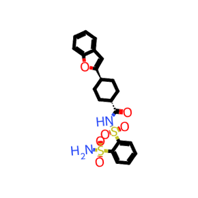 NS(=O)(=O)c1ccccc1S(=O)(=O)NC(=O)[C@H]1CC[C@H](c2cc3ccccc3o2)CC1